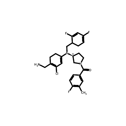 Cc1cc(C(=O)N2CC[C@H](N(CC3CC=C(F)C=C3F)C3=CC(Cl)=C(CN)CC3)C2)ccc1F